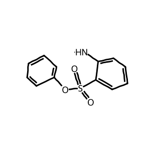 [NH]c1ccccc1S(=O)(=O)Oc1ccccc1